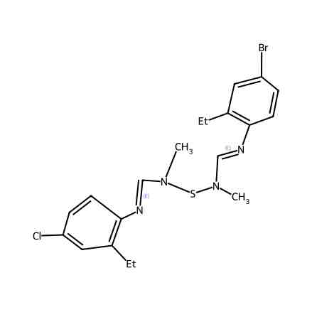 CCc1cc(Cl)ccc1/N=C/N(C)SN(C)/C=N/c1ccc(Br)cc1CC